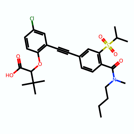 CCCCN(C)C(=O)c1ccc(C#Cc2cc(Cl)ccc2OC(C(=O)O)C(C)(C)C)cc1S(=O)(=O)C(C)C